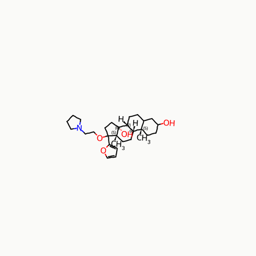 C[C@]12CCC(O)CC1CC[C@@H]1[C@H]2CC[C@]2(C)C(OCCN3CCCC3)(c3ccco3)CC[C@@]12O